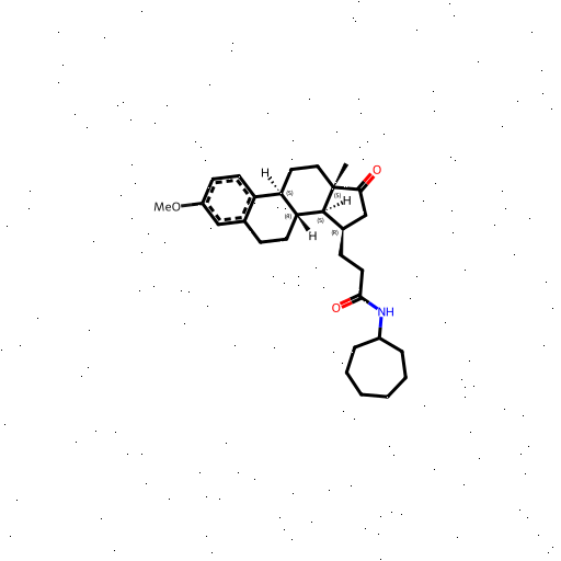 COc1ccc2c(c1)CC[C@H]1[C@@H]3[C@H](CCC(=O)NC4CCCCCC4)CC(=O)[C@@]3(C)CC[C@H]21